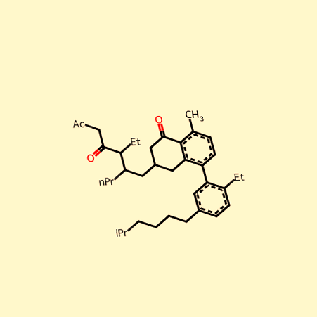 CCCC(CC1CC(=O)c2c(C)ccc(-c3cc(CCCCC(C)C)ccc3CC)c2C1)C(CC)C(=O)CC(C)=O